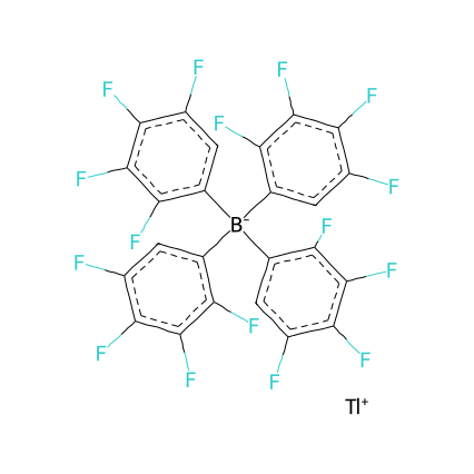 Fc1cc([B-](c2cc(F)c(F)c(F)c2F)(c2cc(F)c(F)c(F)c2F)c2cc(F)c(F)c(F)c2F)c(F)c(F)c1F.[Tl+]